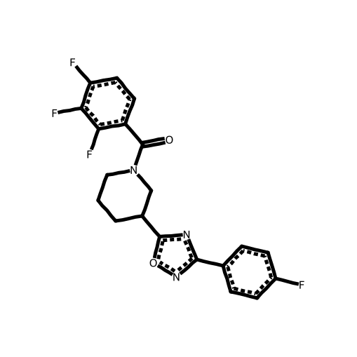 O=C(c1ccc(F)c(F)c1F)N1CCCC(c2nc(-c3ccc(F)cc3)no2)C1